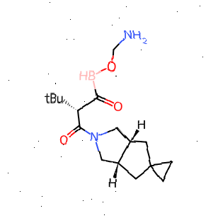 CC(C)(C)[C@H](C(=O)BOCN)C(=O)N1C[C@@H]2CC3(CC3)C[C@@H]2C1